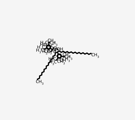 CCCCCCCCCCCCCCCCCCC(CCCCCCCCCCCCCCCCCC)(c1cc(C(C)(C)C)c(O)c(C(C)(C)C)c1)P(=O)(O)OC(CC)(CC)c1cc(C(C)(C)C)c(O)c(C(C)(C)C)c1